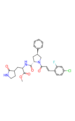 COC(=O)C(CC1CCNC1=O)NC(=O)[C@@H]1C[C@@H](c2ccccc2)CN1C(=O)/C=C/c1ccc(Cl)cc1F